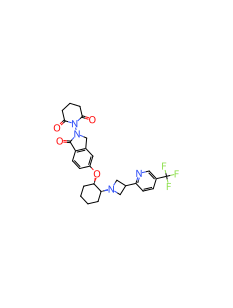 O=C1c2ccc(O[C@@H]3CCCC[C@@H]3N3CC(c4ccc(C(F)(F)F)cn4)C3)cc2CN1N1C(=O)CCCC1=O